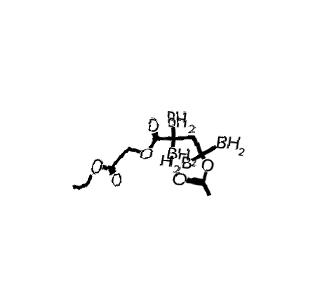 BC(B)(CC(B)(B)C(=O)OCC(=O)OCC)OC(C)=O